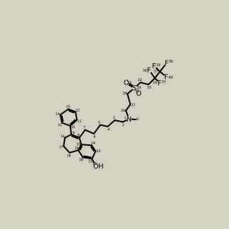 CN(CCCCCCC1=C(c2ccccc2)CCCc2cc(O)ccc21)CCCS(=O)(=O)CCC(F)(F)C(F)(F)F